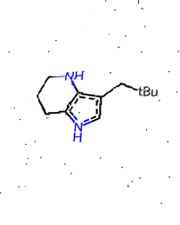 CC(C)(C)Cc1c[nH]c2c1NCCC2